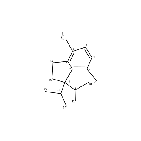 Cc1ccc(Cl)c2c1C(C(C)C)(C(C)C)CC2